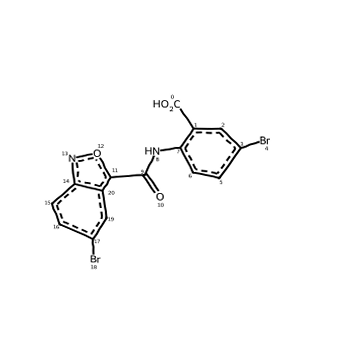 O=C(O)c1cc(Br)ccc1NC(=O)c1onc2ccc(Br)cc12